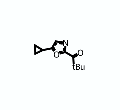 CC(C)(C)C(=O)c1ncc(C2CC2)o1